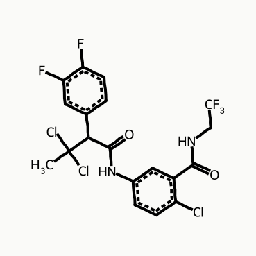 CC(Cl)(Cl)C(C(=O)Nc1ccc(Cl)c(C(=O)NCC(F)(F)F)c1)c1ccc(F)c(F)c1